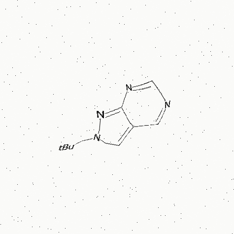 CC(C)(C)n1cc2cncnc2n1